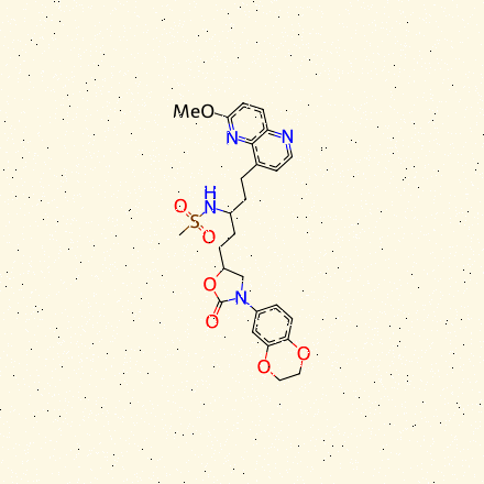 COc1ccc2nccc(CCC(CCC3CN(c4ccc5c(c4)OCCO5)C(=O)O3)NS(C)(=O)=O)c2n1